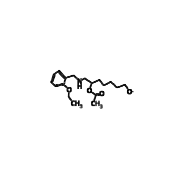 CCOc1ccccc1CNCC(CCCCC[O])OC(C)=O